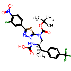 C[C@@H](c1ccc(C(F)(F)F)cc1)[C@@H](CN(C(=O)OC(C)(C)C)c1nnc(-c2ccc([N+](=O)[O-])c(F)c2)s1)NC(=O)O